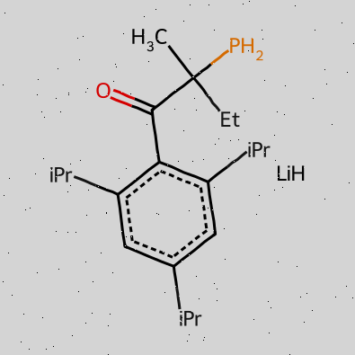 CCC(C)(P)C(=O)c1c(C(C)C)cc(C(C)C)cc1C(C)C.[LiH]